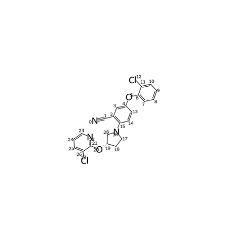 N#Cc1cc(Oc2ccccc2Cl)ccc1N1CC[C@H](Oc2ncccc2Cl)C1